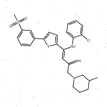 CC1CCCN(CC(=N)/C=C(\Nc2ccccc2Cl)c2ccc(-c3cccc(S(C)(=O)=O)c3)s2)C1